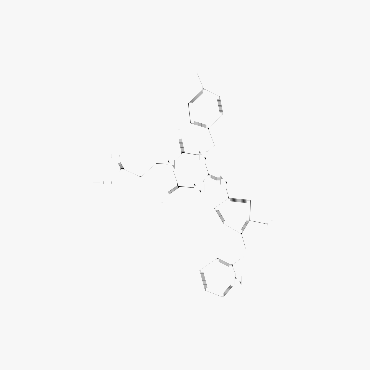 Cc1ccc(Cn2c(=O)n(CCC(=O)O)c(=O)[nH]/c2=N\c2ccc(Oc3ccccn3)c(Cl)c2)cc1